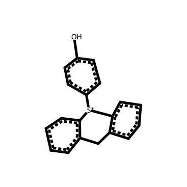 Oc1ccc([S+]2c3ccccc3Cc3ccccc32)cc1